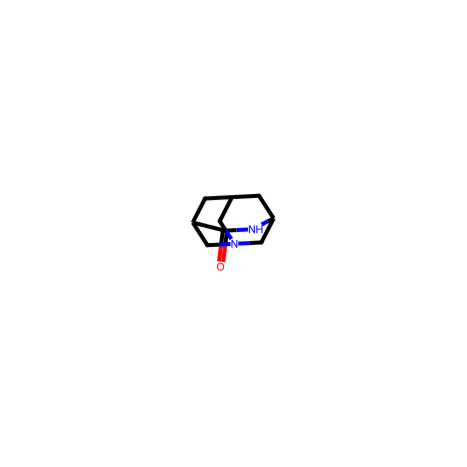 O=C1NC2CC3CC1CN(C3)C2